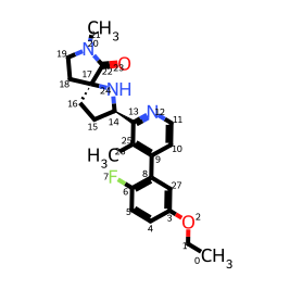 CCOc1ccc(F)c(-c2ccnc([C@H]3CC[C@@]4(CCN(C)C4=O)N3)c2C)c1